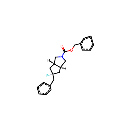 O=C(OCc1ccccc1)N1C[C@@H]2C[C@@](F)(Cc3ccccc3)C[C@@H]2C1